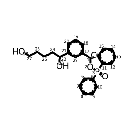 O=C(OP(=O)(c1ccccc1)c1ccccc1)c1cccc(C(O)CCCCO)c1